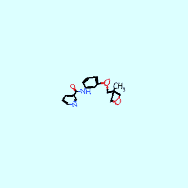 CC1(COc2cccc(NC(=O)c3cccnc3)c2)COC1